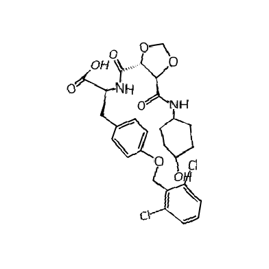 O=C(O)[C@H](Cc1ccc(OCc2c(Cl)cccc2Cl)cc1)NC(=O)[C@@H]1OCO[C@H]1C(=O)NC1CCC(O)CC1